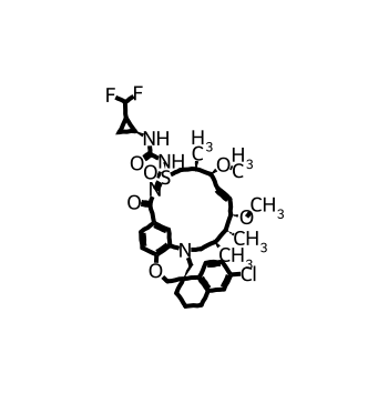 CO[C@H]1/C=C/[C@H](OC)[C@H](C)C[S@@](=O)(NC(=O)N[C@H]2CC2C(F)F)=NC(=O)c2ccc3c(c2)N(C[C@H](C)[C@H]1C)C[C@@]1(CCCc2cc(Cl)ccc21)CO3